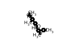 COc1ccc(NC(=O)c2ccc(-c3ccc(-c4noc(C)n4)cc3C)cc2)cc1C1CCN(C)CC1